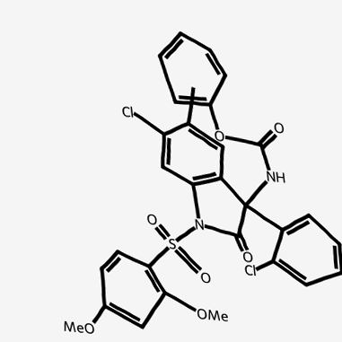 COc1ccc(S(=O)(=O)N2C(=O)C(NC(=O)Oc3ccccc3)(c3ccccc3Cl)c3cc(C)c(Cl)cc32)c(OC)c1